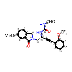 COc1ccc2c(c1)C(=O)N(C[C@@H](C#Cc1ccccc1OC(F)(F)F)NC(=O)NC=O)C2